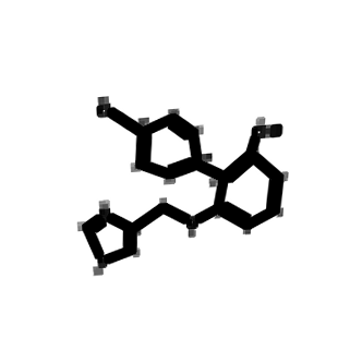 O=Cc1cccc(OCc2cscn2)c1-c1ccc(Cl)cc1